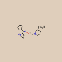 O=C(O)C1CCCN(CCON=C(c2ccccc2)c2ccc[nH]2)C1